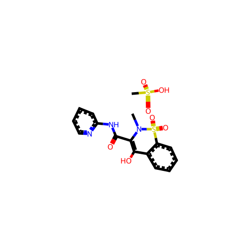 CN1C(C(=O)Nc2ccccn2)=C(O)c2ccccc2S1(=O)=O.CS(=O)(=O)O